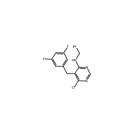 CC(C)CNc1ncnc(Cl)c1Cc1cc(F)cc(F)c1